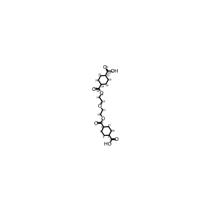 O=C(O)C1CCC(C(=O)OCCOCCOC(=O)C2CCC(C(=O)O)CC2)CC1